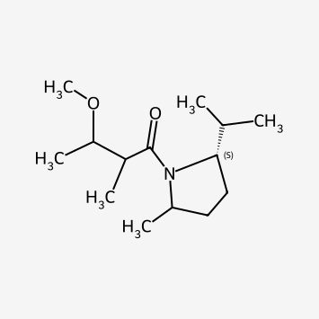 COC(C)C(C)C(=O)N1C(C)CC[C@H]1C(C)C